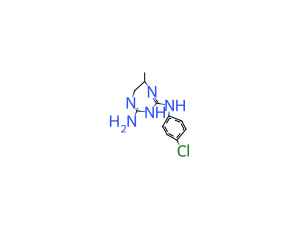 CC1CN=C(N)NC(Nc2ccc(Cl)cc2)=N1